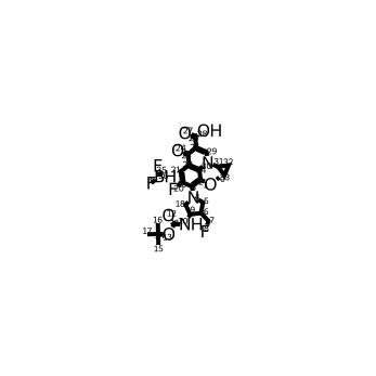 COc1c(N2CC(CF)C(NC(=O)OC(C)(C)C)C2)c(F)cc2c(=O)c(C(=O)O)cn(C3CC3)c12.FBF